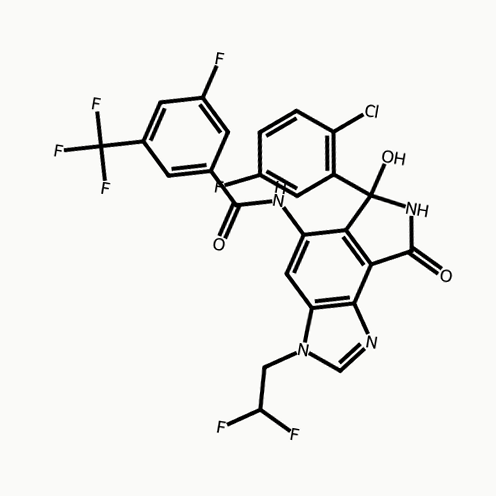 O=C(Nc1cc2c(ncn2CC(F)F)c2c1C(O)(c1cc(F)ccc1Cl)NC2=O)c1cc(F)cc(C(F)(F)F)c1